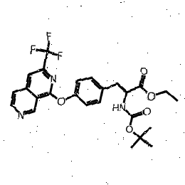 CCOC(=O)C(Cc1ccc(Oc2nc(C(F)(F)F)cc3ccncc23)cc1)NC(=O)OC(C)(C)C